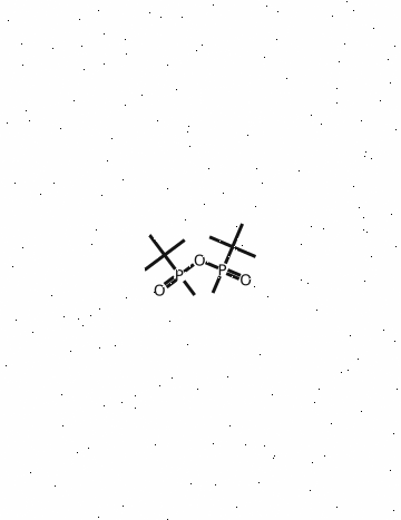 CC(C)(C)P(C)(=O)OP(C)(=O)C(C)(C)C